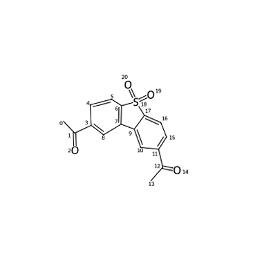 CC(=O)c1ccc2c(c1)-c1cc(C(C)=O)ccc1S2(=O)=O